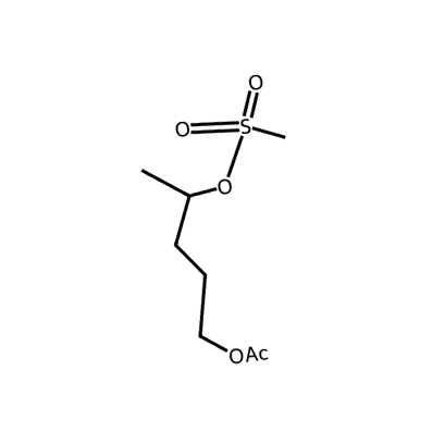 CC(=O)OCCCC(C)OS(C)(=O)=O